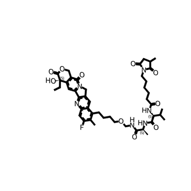 CC[C@@]1(O)C(=O)OCc2c1cc1n(c2=O)Cc2cc3c(CCCCOCNC(=O)[C@H](C)NC(=O)[C@@H](NC(=O)CCCCCN4C(=O)CC(C)C4=O)C(C)C)c(C)c(F)cc3nc2-1